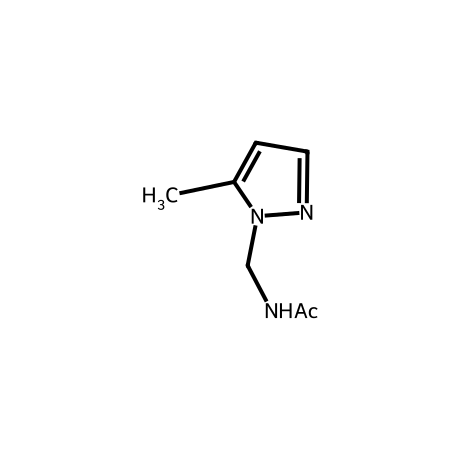 CC(=O)NCn1nccc1C